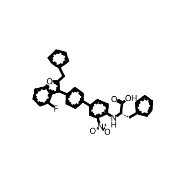 O=C(O)[C@H](Cc1ccccc1)Nc1ccc(-c2ccc(-c3c(Cc4ccccc4)oc4cccc(F)c34)cc2)cc1[N+](=O)[O-]